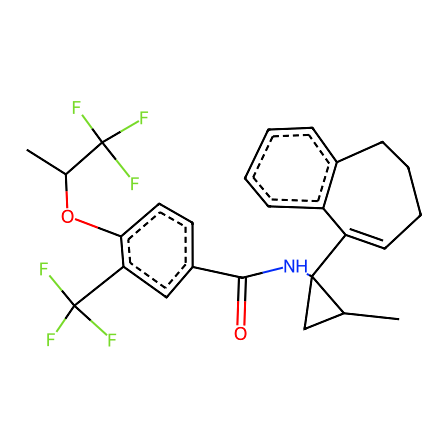 CC(Oc1ccc(C(=O)NC2(C3=CCCCc4ccccc43)CC2C)cc1C(F)(F)F)C(F)(F)F